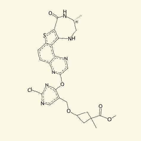 COC(=O)C1(C)CC(OCc2cnc(Cl)nc2Oc2cnc3c(ccc4sc5c(c43)NC[C@@H](C)NC5=O)n2)C1